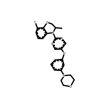 CC1COc2c(F)cccc2N1c1ncc(Oc2cccc(N3CCOCC3)c2)cn1